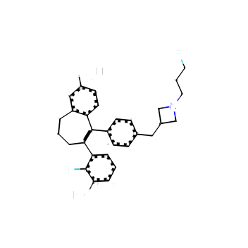 O=C(O)c1ccc2c(c1)CCCC(c1cccc(C(F)(F)F)c1F)=C2c1ccc(CC2CN(CCCF)C2)cc1